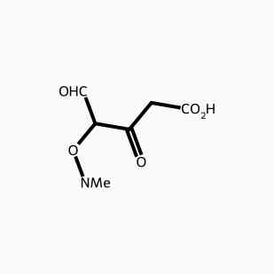 CNOC(C=O)C(=O)CC(=O)O